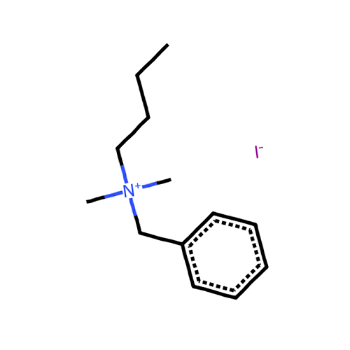 CCCC[N+](C)(C)Cc1ccccc1.[I-]